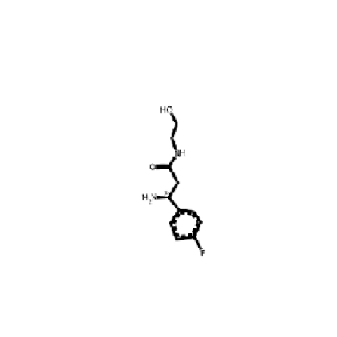 N[C@@H](CC(=O)NCCO)c1ccc(F)cc1